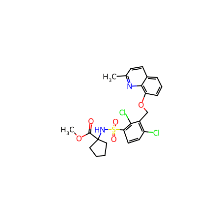 COC(=O)C1(NS(=O)(=O)c2ccc(Cl)c(COc3cccc4ccc(C)nc34)c2Cl)CCCC1